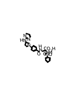 O=C(NC[C@H](NS(=O)(=O)c1ccccc1)C(=O)O)c1ccc(N2CC[C@@H](Nc3ncccn3)C2)cc1